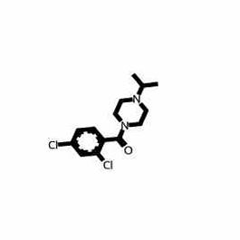 CC(C)N1CCN(C(=O)c2ccc(Cl)cc2Cl)CC1